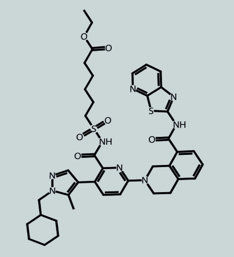 CCOC(=O)CCCCCS(=O)(=O)NC(=O)c1nc(N2CCc3cccc(C(=O)Nc4nc5cccnc5s4)c3C2)ccc1-c1cnn(CC2CCCCC2)c1C